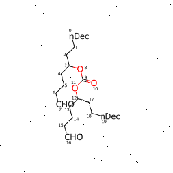 CCCCCCCCCCCCC(CCCC=O)OC(=O)OC(CCCC=O)CCCCCCCCCCCC